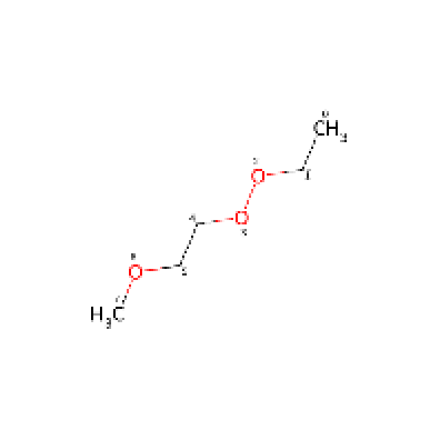 C[CH]OOCCOC